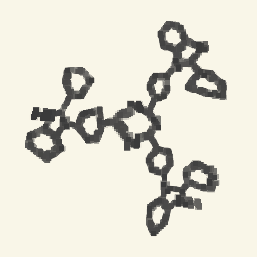 c1ccc(-c2nc3ccccc3n2-c2ccc(-c3nc(-c4ccc(N5c6ccccc6NC5c5ccccc5)cc4)nc(-c4ccc(N5c6ccccc6NC5c5ccccc5)cc4)n3)cc2)cc1